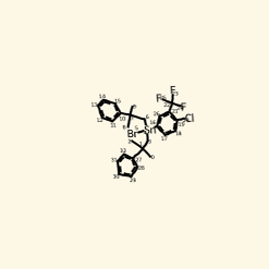 CC(C)([CH2][Sn]([Br])([CH2]C(C)(C)c1ccccc1)[c]1ccc(Cl)c(C(F)(F)F)c1)c1ccccc1